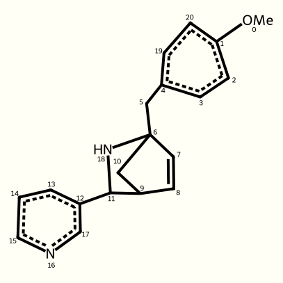 COc1ccc(CC23C=CC(C2)C(c2cccnc2)N3)cc1